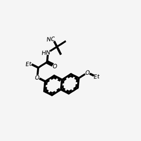 CCOc1ccc2ccc(OC(CC)C(=O)NC(C)(C)C#N)cc2c1